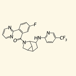 O=C(c1cc(F)ccc1-c1ncccn1)N1CC2C3CC(Nc4ccc(C(F)(F)F)cn4)C1C32